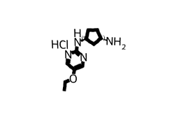 CCOc1cnc(N[C@H]2CC[C@H](N)C2)nc1.Cl